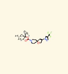 CC(C)(C)OC(=O)N1CCC2(CC1)CC(n1cc(C(F)(F)F)cn1)CO2